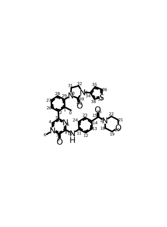 Cc1c(-c2cn(C)c(=O)c(Nc3ccc(C(=O)N4CCOCC4)cc3)n2)cccc1N1CCN(c2ccsc2)C1=O